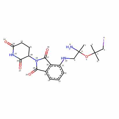 CC(C)(CI)OC(C)(N)CNc1cccc2c1C(=O)N(C1CCC(=O)NC1=O)C2=O